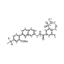 COc1nc(C(C)(F)F)ccc1-c1ccc2cnc(CNC(=O)c3cc(F)c4c(c3)S(=O)(=O)[C@@H](F)COC4)cc2n1